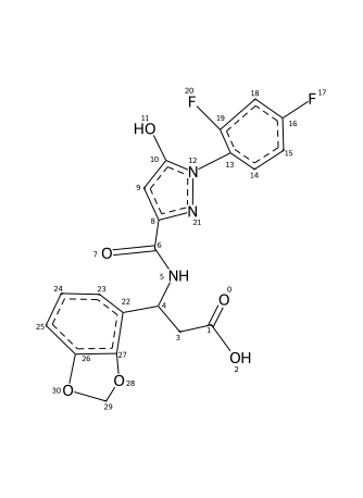 O=C(O)CC(NC(=O)c1cc(O)n(-c2ccc(F)cc2F)n1)c1cccc2c1OCO2